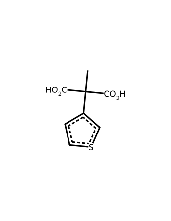 CC(C(=O)O)(C(=O)O)c1ccsc1